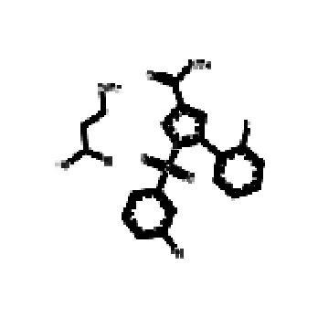 [2H]C(O)CCOC.[2H]c1cccc(S(=O)(=O)n2cc(C(=O)NC)cc2-c2ccccc2F)c1